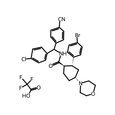 N#Cc1ccc(C(NC(=O)[C@@H]2CC[C@@H](N3CCOCC3)C[C@H]2c2ccc(Br)cc2)c2ccc(Cl)cc2)cc1.O=C(O)C(F)(F)F